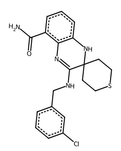 NC(=O)c1cccc2c1N=C(NCc1cccc(Cl)c1)C1(CCSCC1)N2